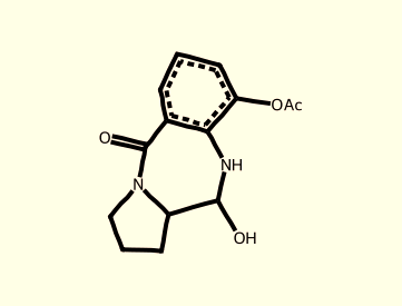 CC(=O)Oc1cccc2c1NC(O)C1CCCN1C2=O